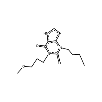 CCCCn1c(=O)n(CCCOC)c(=O)c2[nH]cnc21